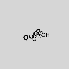 O=C(OCc1ccccc1)N1CC2=CCCC2(C(=O)OO)C1